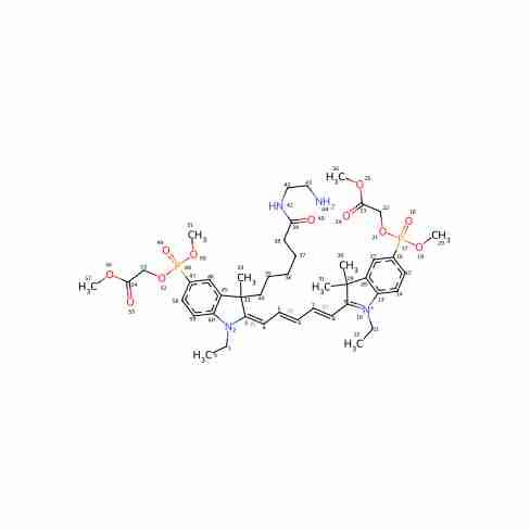 CCN1/C(=C/C=C/C=C/C2=[N+](CC)c3ccc(P(=O)(OC)OCC(=O)OC)cc3C2(C)C)C(C)(CCCCCC(=O)NCCN)c2cc(P(=O)(OC)OCC(=O)OC)ccc21